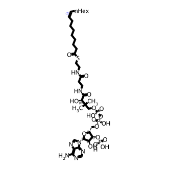 CCCCCC/C=C\CCCCCCCC(=O)SCCNC(=O)CCNC(=O)[C@H](O)C(C)(C)COP(=O)(O)OP(=O)(O)OC[C@H]1O[C@@H](n2cnc3c(N)ncnc32)[C@H](O)[C@@H]1OP(=O)(O)O